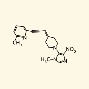 Cc1cccc(C#CC=C2CCN(c3c([N+](=O)[O-])ncn3C)CC2)n1